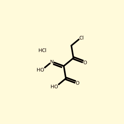 Cl.O=C(O)C(=NO)C(=O)CCl